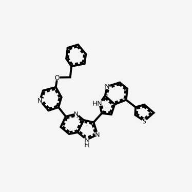 c1ccc(COc2cncc(-c3ccc4[nH]nc(-c5cc6c(-c7ccsc7)ccnc6[nH]5)c4n3)c2)cc1